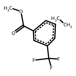 CC.COC(=O)c1cccc(C(F)(F)F)c1